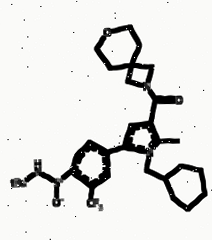 Cc1c(C(=O)N2CC3(CCOCC3)C2)cc(-c2ccc([S+]([O-])NC(C)(C)C)c(C(F)(F)F)c2)n1CC1CCCCC1